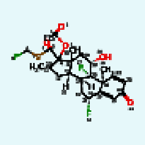 CCC(=O)OC1(C(=O)SCF)[C@@H](C)C[C@@H]2[C@@H]3C[C@@H](F)C4=CC(=O)C=C[C@]4(C)[C@]3(F)[C@@H](O)CC21C